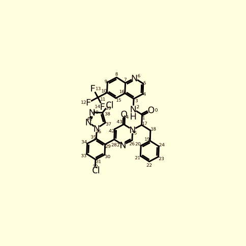 O=C(Nc1ccnc2ccc(C(F)(F)F)cc12)C(Cc1ccccc1)n1cnc(-c2cc(Cl)ccc2-n2cc(Cl)nn2)cc1=O